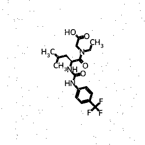 CCN(CC(=O)O)C(=O)[C@H](CC(C)C)NC(=O)Nc1ccc(C(F)(F)F)cc1